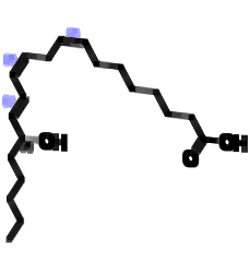 CCCCC[C@@H](O)/C=C/C=C\C/C=C\CCCCCCC(=O)O